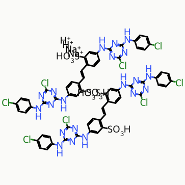 O=S(=O)(O)c1cc(Nc2nc(Cl)nc(Nc3ccc(Cl)cc3)n2)ccc1C=Cc1ccc(Nc2nc(Cl)nc(Nc3ccc(Cl)cc3)n2)cc1S(=O)(=O)O.O=S(=O)(O)c1cc(Nc2nc(Cl)nc(Nc3ccc(Cl)cc3)n2)ccc1C=Cc1ccc(Nc2nc(Cl)nc(Nc3ccc(Cl)cc3)n2)cc1S(=O)(=O)O.[H+].[H+].[Na+].[Na+]